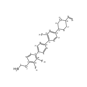 BCOc1ccc(-c2ccc(-c3ccc(C4CCC(C=C)OC4)cc3F)cc2)c(F)c1F